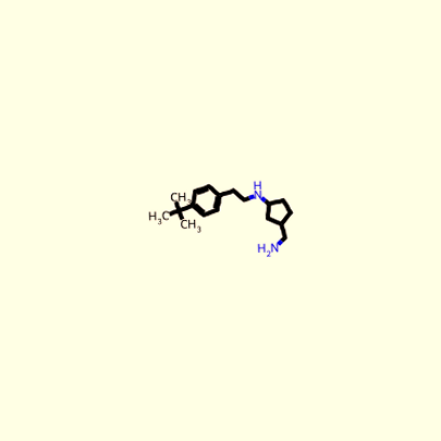 CC(C)(C)c1ccc(CCNC2CCC(CN)C2)cc1